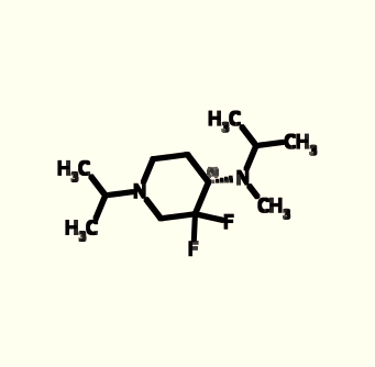 CC(C)N1CC[C@H](N(C)C(C)C)C(F)(F)C1